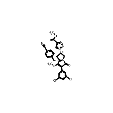 COC(=O)c1cn([C@@H]2CN3C(=O)C(c4cc(Cl)cc(Cl)c4)=C(OC)[C@@]3(Cc3ccc(C#N)cc3)C2)nn1